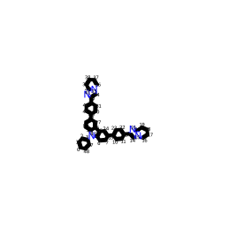 c1ccc(-n2c3ccc(-c4ccc(-c5cn6ccccc6n5)cc4)cc3c3cc(-c4ccc(-c5cn6ccccc6n5)cc4)ccc32)cc1